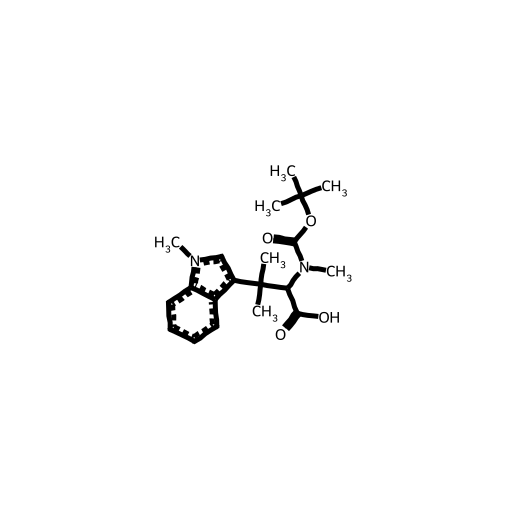 CN(C(=O)OC(C)(C)C)C(C(=O)O)C(C)(C)c1cn(C)c2ccccc12